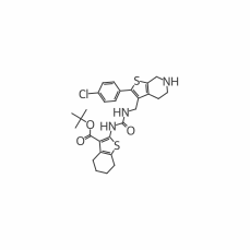 CC(C)(C)OC(=O)c1c(NC(=O)NCc2c(-c3ccc(Cl)cc3)sc3c2CCNC3)sc2c1CCCC2